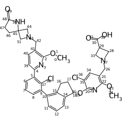 COc1nc(-c2cccc(-c3cccc4c3CC[C@@H]4Oc3nc(OC)c(CN4CC(C(=O)O)C4)cc3Cl)c2Cl)ccc1CN1CC2(CCC(=O)N2)C1